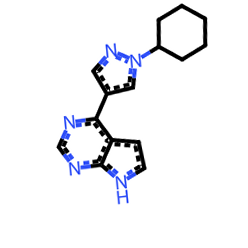 c1nc(-c2cnn(C3CCCCC3)c2)c2cc[nH]c2n1